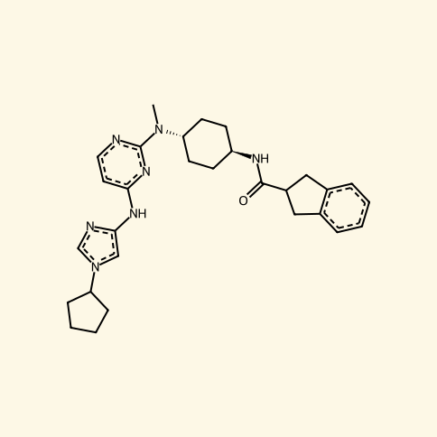 CN(c1nccc(Nc2cn(C3CCCC3)cn2)n1)[C@H]1CC[C@H](NC(=O)C2Cc3ccccc3C2)CC1